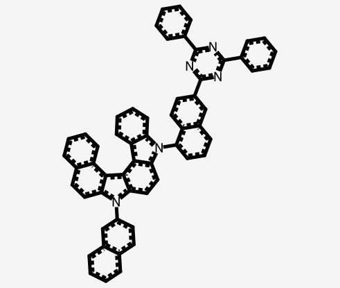 c1ccc(-c2nc(-c3ccccc3)nc(-c3ccc4c(-n5c6ccccc6c6c7c8c9ccccc9ccc8n(-c8ccc9ccccc9c8)c7ccc65)cccc4c3)n2)cc1